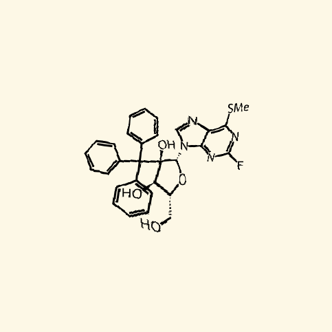 CSc1nc(F)nc2c1ncn2[C@@H]1O[C@H](CO)[C@@H](O)[C@]1(O)C(c1ccccc1)(c1ccccc1)c1ccccc1